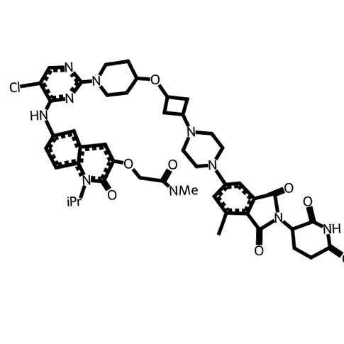 CNC(=O)COc1cc2cc(Nc3nc(N4CCC(OC5CC(N6CCN(c7cc(C)c8c(c7)C(=O)N(C7CCC(=O)NC7=O)C8=O)CC6)C5)CC4)ncc3Cl)ccc2n(C(C)C)c1=O